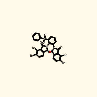 O=C1c2ccc(Br)c(Br)c2C(=O)N1c1cccc(S(=O)(=O)c2ccccc2)c1N1C(=O)c2ccc(Br)c(Br)c2C1=O